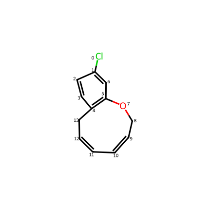 Clc1ccc2c(c1)OC/C=C\C=C/C2